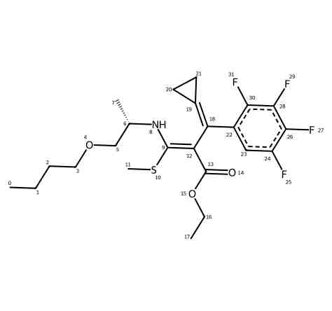 CCCCOC[C@H](C)N/C(SC)=C(/C(=O)OCC)C(=C1CC1)c1cc(F)c(F)c(F)c1F